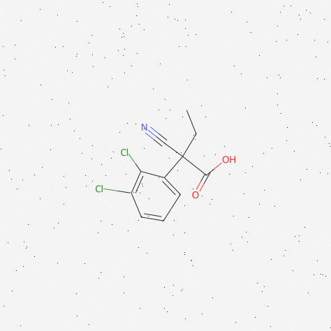 CCC(C#N)(C(=O)O)c1cccc(Cl)c1Cl